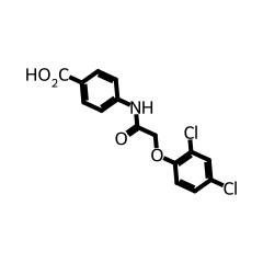 O=C(COc1ccc(Cl)cc1Cl)Nc1ccc(C(=O)O)cc1